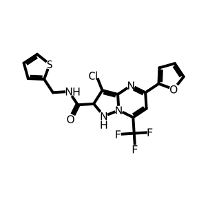 O=C(NCc1cccs1)C1NN2C(C(F)(F)F)=CC(c3ccco3)=NC2=C1Cl